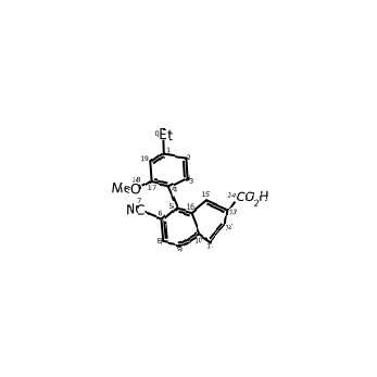 CCc1ccc(-c2c(C#N)ccc3ccc(C(=O)O)cc23)c(OC)c1